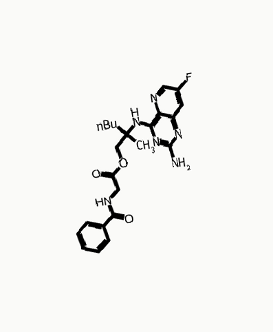 CCCCC(C)(COC(=O)CNC(=O)c1ccccc1)Nc1nc(N)nc2cc(F)cnc12